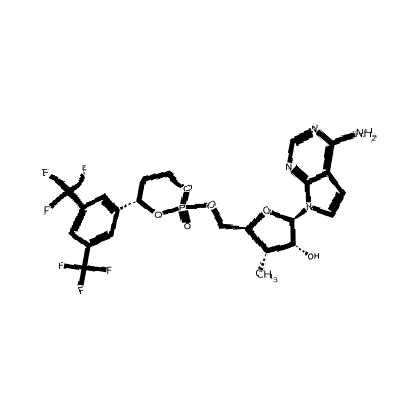 C[C@H]1[C@@H](O)[C@H](n2ccc3c(N)ncnc32)O[C@@H]1COP1(=O)OCC[C@@H](c2cc(C(F)(F)F)cc(C(F)(F)F)c2)O1